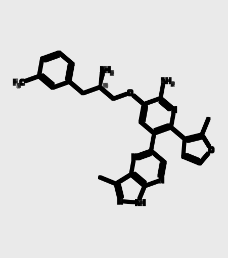 Cc1occc1-c1nc(N)c(OC[C@H](N)Cc2cccc(C(F)(F)F)c2)cc1-c1cnc2[nH]nc(C)c2n1